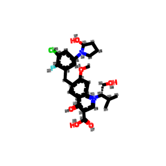 COc1cc2c(cc1Cc1cc(N3CCC[C@@H]3O)cc(Cl)c1F)c(=O)c(C(=O)O)cn2[C@H](CO)C(C)C